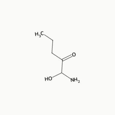 CCCC(=O)C(N)O